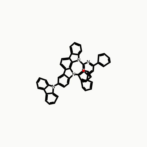 c1ccc(-c2cc(-c3ccccc3)nc(-n3c4ccccc4c4ccc5c6cc(-n7c8ccccc8c8ccccc87)ccc6n(-c6ccccc6)c5c43)n2)cc1